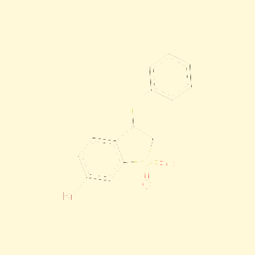 O=S1(=O)CC(Sc2ccccc2)c2ccc(Br)cc21